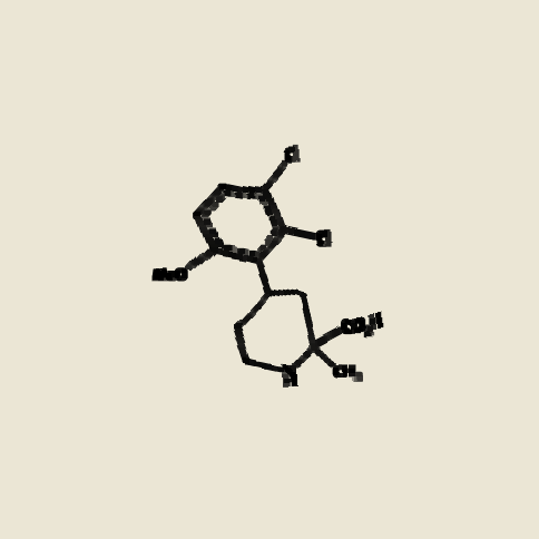 COc1ccc(Cl)c(Cl)c1C1CCNC(C)(C(=O)O)C1